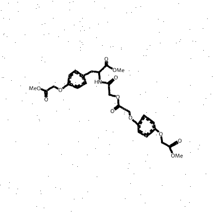 COC(=O)COc1ccc(CC(NC(=O)COC(=O)COc2ccc(OCC(=O)OC)cc2)C(=O)OC)cc1